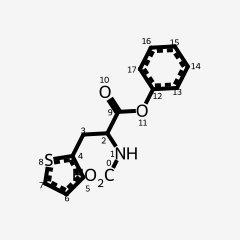 O=C(O)NC(Cc1cccs1)C(=O)Oc1ccccc1